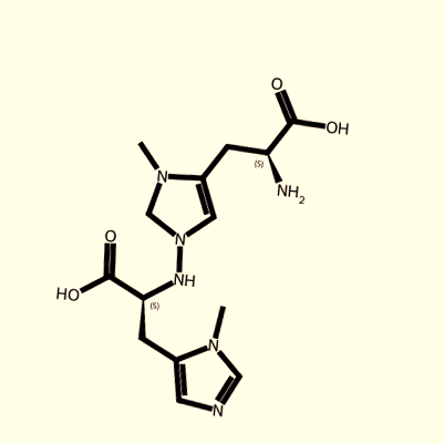 CN1CN(N[C@@H](Cc2cncn2C)C(=O)O)C=C1C[C@H](N)C(=O)O